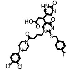 O=C(O)CC(c1cnc(=O)[nH]c1)c1cn(CCCC(=O)N2CCN(c3ccc(Cl)c(Cl)c3)CC2)c(SCc2ccc(F)cc2)nc1=O